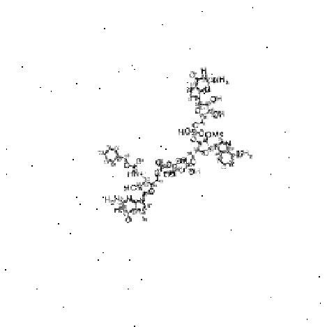 CO[C@@H]1[C@H](OP(=O)(O)OC[C@H]2O[C@@H](n3cnc4c(=O)[nH]c(N)nc43)[C@H](O)[C@@H]2O)[C@@H](COP(=O)(O)OP(=O)(O)OP(=O)(O)OC[C@H]2O[C@@H](n3c[n+](C)c4c(=O)[nH]c(N)nc43)[C@H](O)[C@@H]2CNC(=O)OCc2ccccc2)O[C@H]1n1cnc2c(N)ncnc21